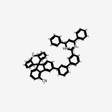 N#Cc1cccc2c1-c1cc(-c3cccc(-c4cccc(C5=NC(c6ccccc6)=CC(c6ccccc6)N5)c4)c3)ccc1C21c2ccccc2Sc2ccccc21